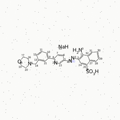 Nc1c(/N=N/c2ccc(-c3cccc(CN4CCOCC4)c3)nc2)cc(S(=O)(=O)O)c2ccccc12.[NaH]